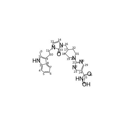 Cc1[nH]c2ccccc2c1CCn1ccn(CC2CCN(c3ncc(C(=O)NO)cn3)CC2)c1=O